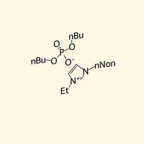 CCCCCCCCCn1cc[n+](CC)c1.CCCCOP(=O)([O-])OCCCC